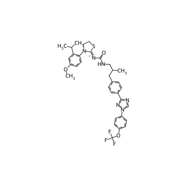 COc1ccc(N2CCS/C2=N\C(=O)NCC(C)Cc2ccc(-c3ncn(-c4ccc(OC(F)(F)F)cc4)n3)cc2)c(C(C)C)c1